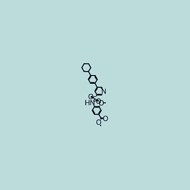 COC(=O)c1ccc(NS(=O)(=O)c2cncc(-c3ccc(C4CCCCC4)cc3)c2)c(OC)c1